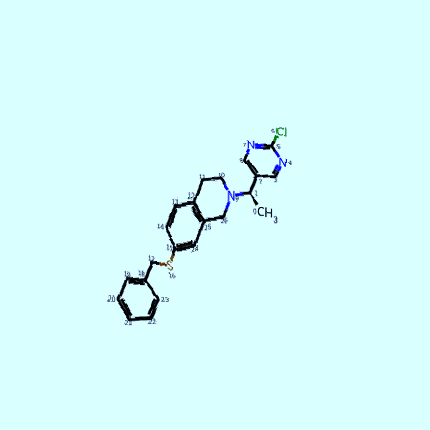 C[C@H](c1cnc(Cl)nc1)N1CCc2ccc(SCc3ccccc3)cc2C1